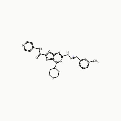 Cc1cccc(/C=N/Nc2nc(N3CCOCC3)c3nc(C(=O)Nc4ccncc4)oc3n2)c1